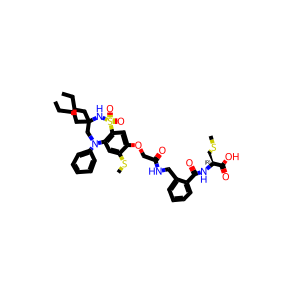 CCCCC1(CCCC)CN(c2ccccc2)c2cc(SC)c(OCC(=O)NCc3ccccc3C(=O)N[C@@H](CSC)C(=O)O)cc2S(=O)(=O)N1